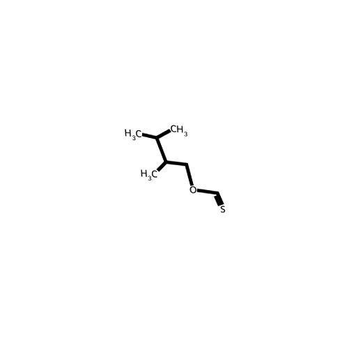 CC(C)C(C)COC=S